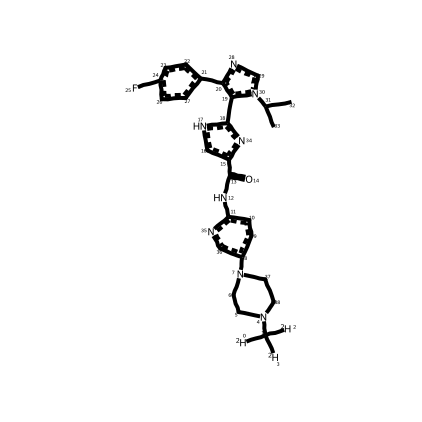 [2H]C([2H])([2H])N1CCN(c2ccc(NC(=O)c3c[nH]c(-c4c(-c5ccc(F)cc5)ncn4C(C)C)n3)nc2)CC1